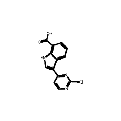 O=C(O)c1cccc2c(-c3ccnc(Cl)n3)c[nH]c12